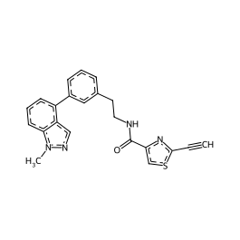 C#Cc1nc(C(=O)NCCc2cccc(-c3cccc4c3cnn4C)c2)cs1